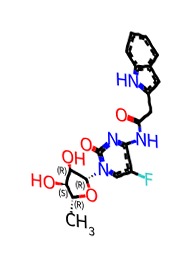 C[C@H]1O[C@@H](n2cc(F)c(NC(=O)Cc3cc4ccccc4[nH]3)nc2=O)[C@H](O)[C@@H]1O